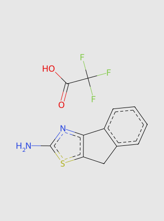 Nc1nc2c(s1)Cc1ccccc1-2.O=C(O)C(F)(F)F